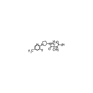 CC(C)C(=O)NC(C)(C)C(=O)N[C@@H]1CCN(c2ncc(C(F)(F)F)cc2F)C1